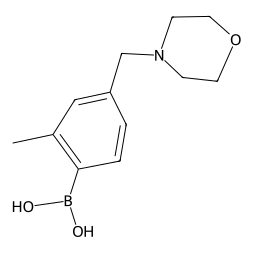 Cc1cc(CN2CCOCC2)ccc1B(O)O